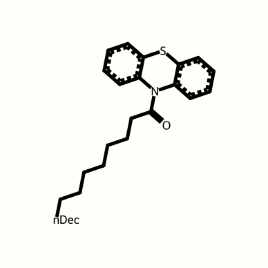 CCCCCCCCCCCCCCCCCC(=O)N1c2ccccc2Sc2ccccc21